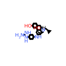 N=C(N)Nc1ccc(N[C@@H]2CC[C@@]3(O)[C@H]4Cc5ccc(O)cc5[C@@]3(CCCN4CC3CC3)C2)cc1